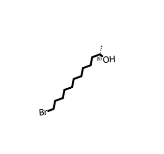 C[C@H](O)CCCCCCCCCCBr